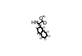 COC(=O)C(=N)c1ccc2ccccc2c1